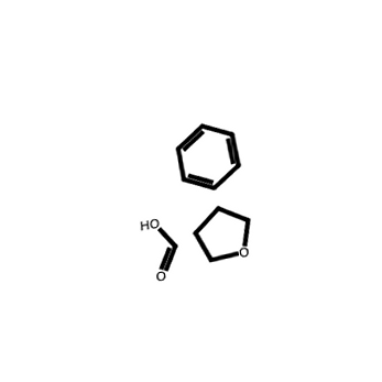 C1CCOC1.O=CO.c1ccccc1